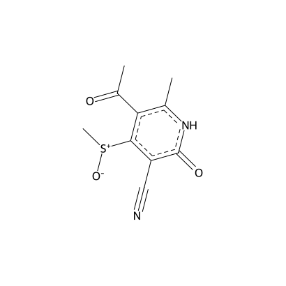 CC(=O)c1c(C)[nH]c(=O)c(C#N)c1[S+](C)[O-]